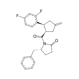 C=C1C[C@H](c2ccc(F)cc2F)[C@H](C(=O)N2C(=O)CC[C@@H]2Cc2ccccc2)C1